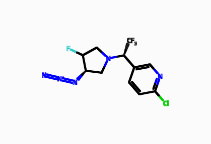 [N-]=[N+]=N[C@@H]1CN([C@H](c2ccc(Cl)nc2)C(F)(F)F)CC1F